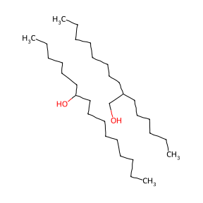 CCCCCCCCC(CO)CCCCCC.CCCCCCCCCC(O)CCCCCC